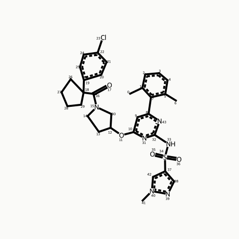 Cc1cccc(C)c1-c1cc(OC2CCN(C(=O)C3(c4ccc(Cl)cc4)CCCC3)C2)nc(NS(=O)(=O)c2cnn(C)c2)n1